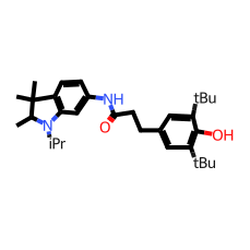 CC(C)N1c2cc(NC(=O)CCc3cc(C(C)(C)C)c(O)c(C(C)(C)C)c3)ccc2C(C)(C)C1C